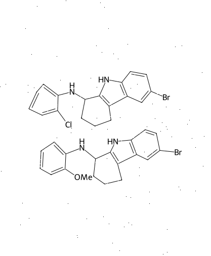 COc1ccccc1NC1CCCc2c1[nH]c1ccc(Br)cc21.Clc1ccccc1NC1CCCc2c1[nH]c1ccc(Br)cc21